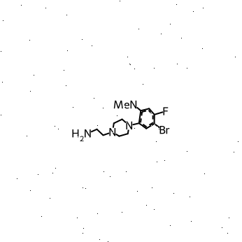 CNc1cc(F)c(Br)cc1N1CCN(CCN)CC1